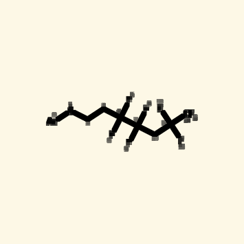 CC(=O)SCCC(F)(F)C(F)(F)CC(F)(F)C(F)(F)F